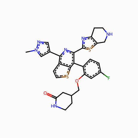 Cn1cc(-c2nc(-c3nc4c(s3)CNCC4)c(-c3ccc(F)cc3OCC3CCNC(=O)C3)c3sccc23)cn1